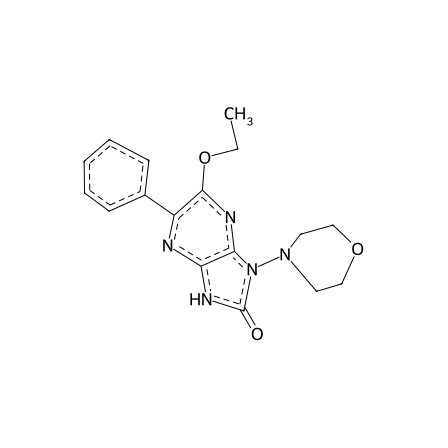 CCOc1nc2c(nc1-c1ccccc1)[nH]c(=O)n2N1CCOCC1